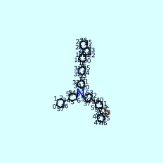 c1ccc(-c2ccc(N(c3ccc(-c4ccc(-c5ccc6c(ccc7ccccc76)c5)cc4)cc3)c3ccc(-c4ccc5sc6ccccc6c5c4)cc3)cc2)cc1